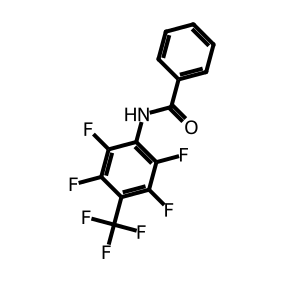 O=C(Nc1c(F)c(F)c(C(F)(F)F)c(F)c1F)c1ccccc1